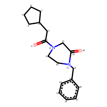 O=C(CC1CCCC1)N1CCN(Cc2ccccc2)C(=O)C1